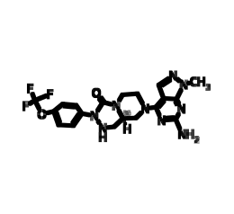 Cn1ncc2c(N3CCN4C(=O)N(c5ccc(OC(F)(F)F)cc5)NC[C@@H]4C3)nc(N)nc21